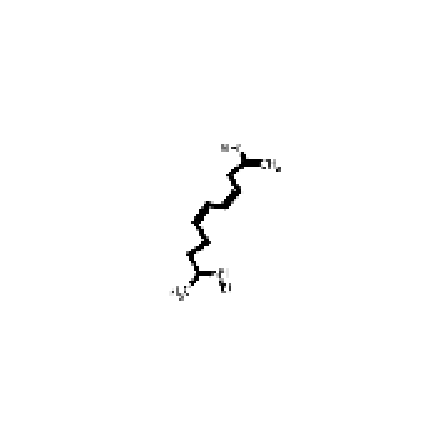 C=C(C/C=C\C=C/CCC(C)NCC)CCC